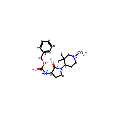 CC1(C)CN(C(=O)O)CCC1N1CCC(NC(=O)OCc2ccccc2)C1=O